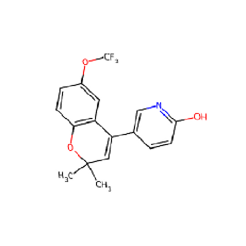 CC1(C)C=C(c2ccc(O)nc2)c2cc(OC(F)(F)F)ccc2O1